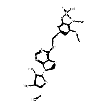 COc1cc(CNc2ncnc3c2ncn3[C@@H]2O[C@H](CO)[C@@H](O)[C@H]2O)cc(OP(=O)(O)O)c1OC